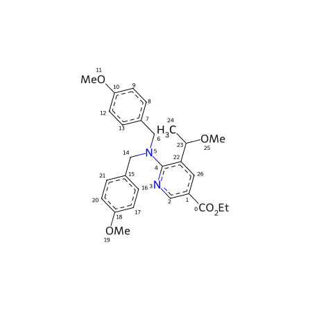 CCOC(=O)c1cnc(N(Cc2ccc(OC)cc2)Cc2ccc(OC)cc2)c(C(C)OC)c1